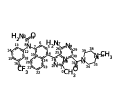 Cc1nc(-c2ccc(N(C(N)=O)c3cccc(C(F)(F)F)c3)c3ccccc23)c2c(N)ncc(C(=O)N3CCN(C)CC3)n12